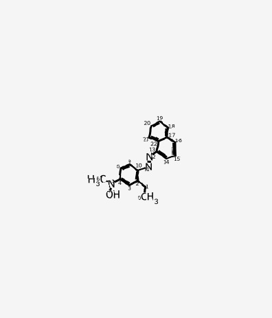 CCc1cc(N(C)O)ccc1N=Nc1cccc2ccccc12